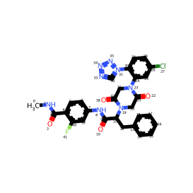 CNC(=O)c1ccc(NC(=O)C(Cc2ccccc2)N2CC(=O)N(c3cc(Cl)ccc3-n3cnnn3)CC2=O)cc1F